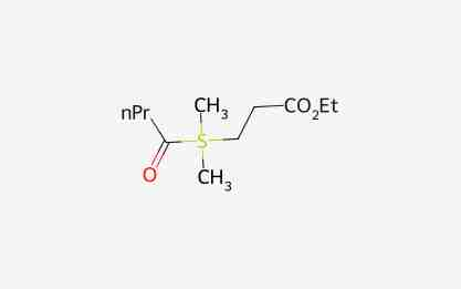 CCCC(=O)S(C)(C)CCC(=O)OCC